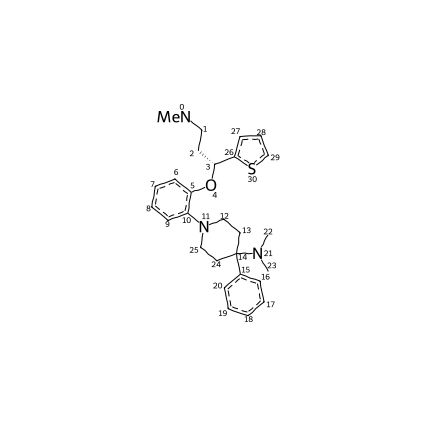 CNCC[C@@H](Oc1ccccc1N1CCC(c2ccccc2)(N(C)C)CC1)c1cccs1